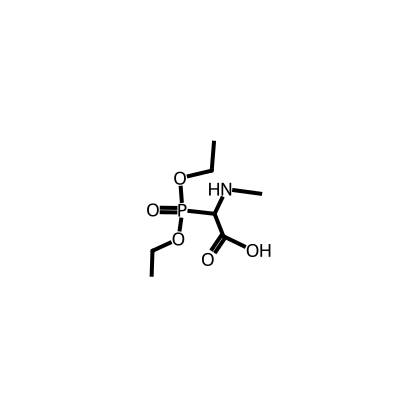 CCOP(=O)(OCC)C(NC)C(=O)O